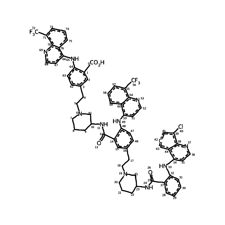 O=C(O)c1cc(CCN2CCCC(NC(=O)c3cc(CCN4CCCC(NC(=O)c5ccccc5Nc5ccnc6c(Cl)cccc56)C4)ccc3Nc3ccnc4c(C(F)(F)F)cccc34)C2)ccc1Nc1ccnc2c(C(F)(F)F)cccc12